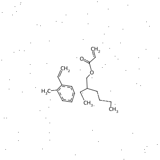 C=CC(=O)OCC(CC)CCCC.C=Cc1ccccc1C